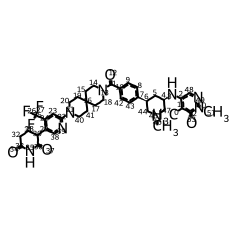 Cc1c(N[C@@H]2C[C@H](c3ccc(C(=O)N4CCC5(CC4)CCN(c4cc(C(F)(F)F)c(C6CCC(=O)NC6=O)cn4)CC5)cc3)CN(C)C2)cnn(C)c1=O